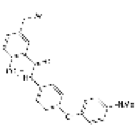 CNc1ccc(Oc2ccc(NC(=O)c3cc(CC(C)=O)ccc3C(=O)O)cc2)cc1